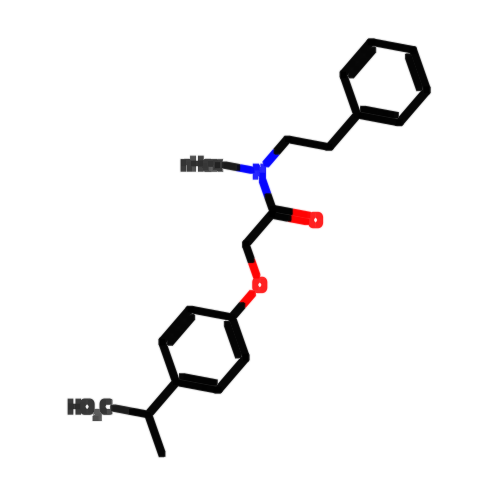 CCCCCCN(CCc1ccccc1)C(=O)COc1ccc(C(C)C(=O)O)cc1